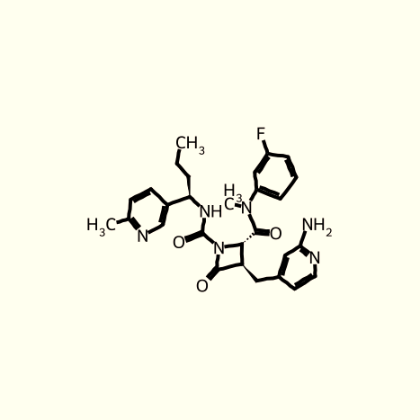 CCC[C@@H](NC(=O)N1C(=O)[C@H](Cc2ccnc(N)c2)[C@H]1C(=O)N(C)c1cccc(F)c1)c1ccc(C)nc1